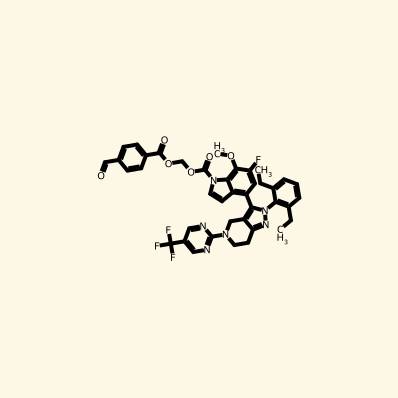 CCc1cccc(CC)c1-n1nc2c(c1-c1cc(F)c(OC)c3c1ccn3C(=O)OCOC(=O)c1ccc(C=O)cc1)CN(c1ncc(C(F)(F)F)cn1)CC2